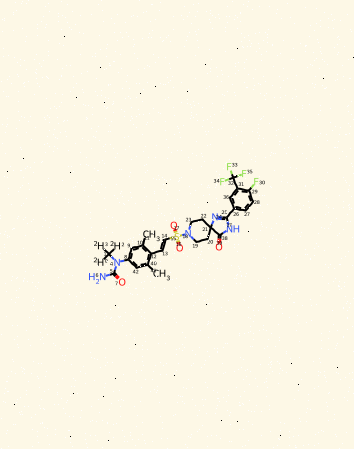 [2H]C([2H])([2H])N(C(N)=O)c1cc(C)c(/C=C/S(=O)(=O)N2CCC3(CC2)N=C(c2ccc(F)c(C(F)(F)F)c2)NC3=O)c(C)c1